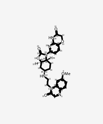 COc1ccc2ncc(=O)n(CCN[C@@H]3CC[C@@H]4[C@@H](C3)OC(=O)N4c3ccc4c(n3)NC(=O)CO4)c2c1